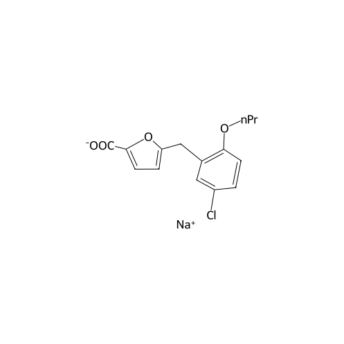 CCCOc1ccc(Cl)cc1Cc1ccc(C(=O)[O-])o1.[Na+]